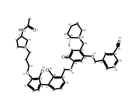 CC(=O)NC1CCN(CCCOc2cccc(-c3cccc(COc4cc(OCc5cncc(C#N)c5)c(CN5CCCC[C@H]5C)cc4Cl)c3Cl)c2Cl)C1